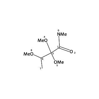 CNC(=O)C(OC)(OC)C(C)OC